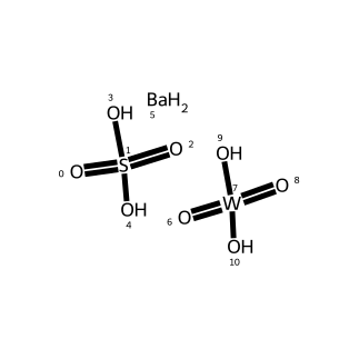 O=S(=O)(O)O.[BaH2].[O]=[W](=[O])([OH])[OH]